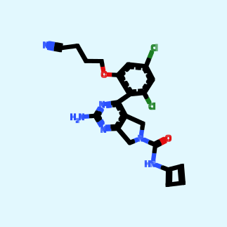 N#CCCCOc1cc(Cl)cc(Cl)c1-c1nc(N)nc2c1CN(C(=O)NC1=CC=C1)C2